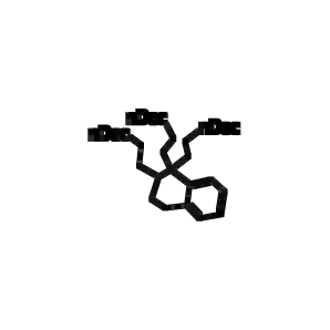 CCCCCCCCCCCCC1CCc2ccccc2C1(CCCCCCCCCCCC)CCCCCCCCCCCC